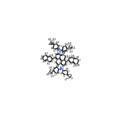 C[Si](C)(C)c1ccc(N(c2ccc([Si](C)(C)C)cc2)c2cc(-c3ccc4ccccc4c3)c3ccc4c(N(c5ccc([Si](C)(C)C)cc5)c5ccc([Si](C)(C)C)cc5)cc(-c5ccc6ccccc6c5)c5ccc2c3c54)cc1